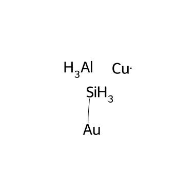 [AlH3].[Cu].[SiH3][Au]